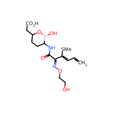 C=C/C=C(SC)/C(=N\OCCO)C(=O)NC1CCC(CC(=O)O)OB1O